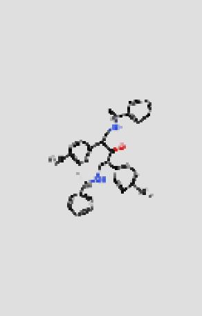 C[C@H](NCC(C(=O)C(CN[C@@H](C)c1ccccc1)c1ccc([N+](=O)[O-])cc1)c1ccc([N+](=O)[O-])cc1)c1ccccc1